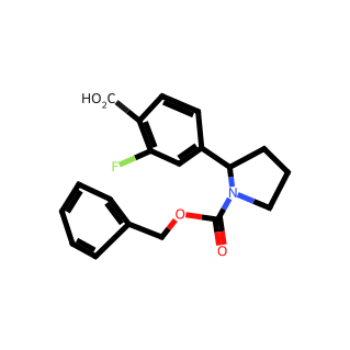 O=C(O)c1ccc(C2CCCN2C(=O)OCc2ccccc2)cc1F